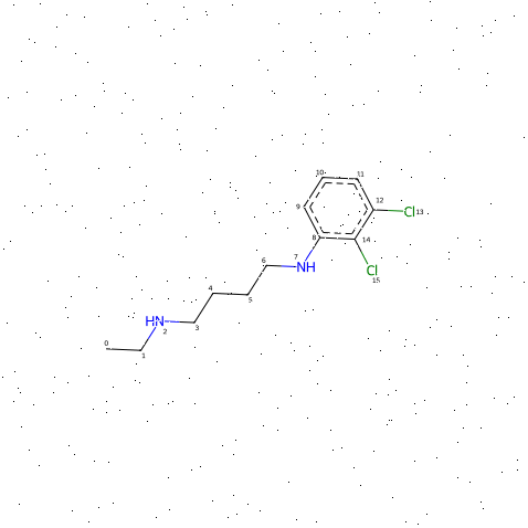 CCNCCCCNc1cccc(Cl)c1Cl